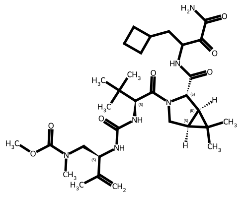 C=C(C)[C@@H](CN(C)C(=O)OC)NC(=O)N[C@H](C(=O)N1C[C@H]2[C@@H]([C@H]1C(=O)NC(CC1CCC1)C(=O)C(N)=O)C2(C)C)C(C)(C)C